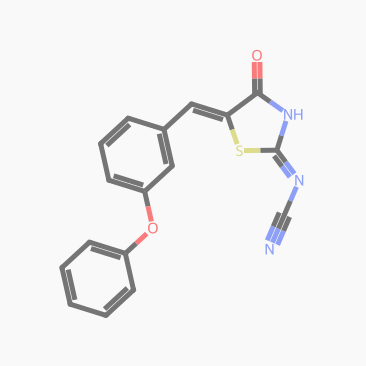 N#CN=C1NC(=O)C(=Cc2cccc(Oc3ccccc3)c2)S1